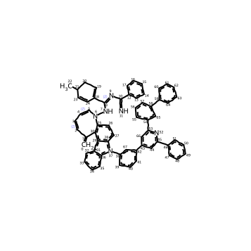 C=C1/C=C\C=C/N(N/C(=N\C(=N)c2ccccc2)C2=CCC(C)C=C2)c2ccc3c(c21)c1ccccc1n3-c1cccc(-c2cc(-c3ccccc3)nc(-c3cccc(-c4ccccc4)c3)c2)c1